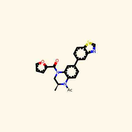 CC(=O)N1c2ccc(-c3ccc4scnc4c3)cc2N(C(=O)c2ccco2)C[C@@H]1C